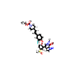 CC[S+]([O-])c1ccc(Oc2ccc(CCC3CCN(C(=O)OC(C)(C)C)CC3)cc2F)c(-c2cn(C)c(=O)c3[nH]ccc23)c1